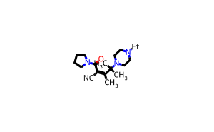 CCN1CCN(C(C)(C)C(C)=C(C#N)C(=O)N2CCCC2)CC1